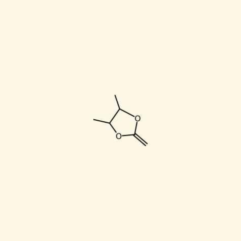 C=C1OC(C)C(C)O1